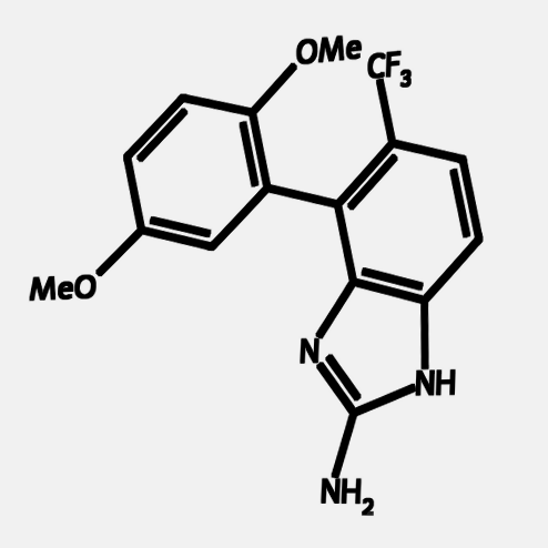 COc1ccc(OC)c(-c2c(C(F)(F)F)ccc3[nH]c(N)nc23)c1